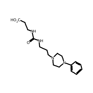 O=C(O)CCNC(=O)NCCCN1CCN(c2ccccc2)CC1